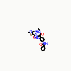 CCNC(=O)c1c(NC(=O)c2sc(C)nc2C)[nH]c2cc(NC(=O)C3(C)CCCCC3)ccc12